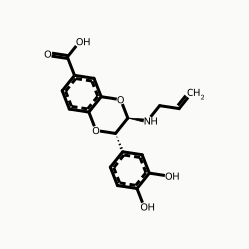 C=CCN[C@@H]1Oc2cc(C(=O)O)ccc2O[C@H]1c1ccc(O)c(O)c1